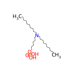 CCCCCCCCCCN(CCCCCCCCCC)CCCCCCOP(=O)(O)O